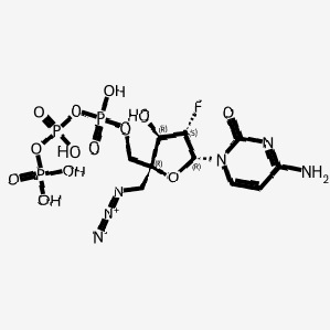 [N-]=[N+]=NC[C@]1(COP(=O)(O)OP(=O)(O)OP(=O)(O)O)O[C@@H](n2ccc(N)nc2=O)[C@@H](F)[C@@H]1O